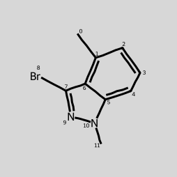 Cc1cccc2c1c(Br)nn2C